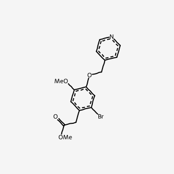 COC(=O)Cc1cc(OC)c(OCc2ccncc2)cc1Br